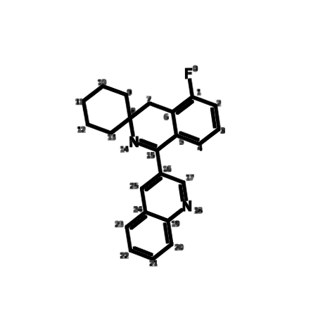 Fc1cccc2c1CC1(CCCCC1)N=C2c1cnc2ccccc2c1